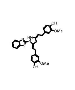 COc1cc(CC=C2CC(=CCc3ccc(O)c(OC)c3)N(c3nc4ccccc4s3)N2)ccc1O